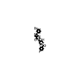 O=C(c1ccc(F)cc1)N1CCC(O)(Cn2cnc3c(cnn3-c3cccc(Br)c3)c2=O)CC1